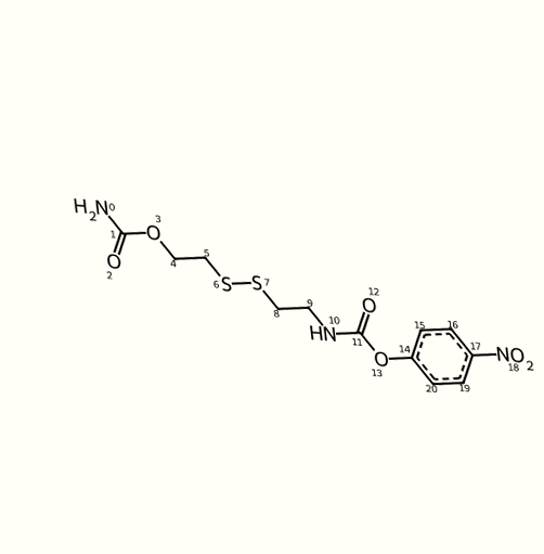 NC(=O)OCCSSCCNC(=O)Oc1ccc([N+](=O)[O-])cc1